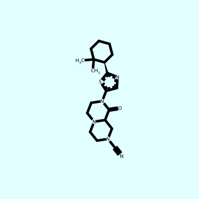 CC1(C)CCCC[C@H]1c1ncc(N2CCN3CCN(C#N)CC3C2=O)s1